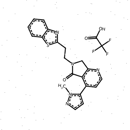 Cn1nccc1-c1ccnc2c1C(=O)N(CCc1nc3ccccc3s1)C2.O=C(O)C(F)(F)F